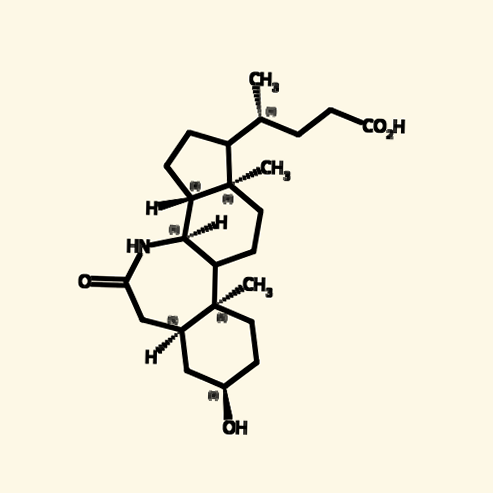 C[C@H](CCC(=O)O)C1CC[C@H]2[C@@H]3NC(=O)C[C@@H]4C[C@H](O)CC[C@]4(C)C3CC[C@]12C